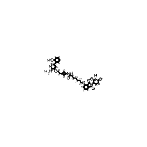 Nc1nnc(-c2ccccc2O)cc1OCCC12CC(NC(=O)CCCCCCOc3cccc4c3C(=O)N(C3CCC(=O)NC3=O)C4=O)(C1)C2